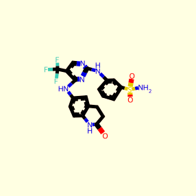 NS(=O)(=O)c1cccc(Nc2ncc(C(F)(F)F)c(Nc3ccc4c(c3)CCC(=O)N4)n2)c1